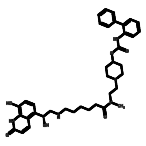 CN(CCN1CCC(OC(=O)Nc2ccccc2-c2ccccc2)CC1)C(=O)CCCCCNC[C@@H](O)c1ccc(O)c2[nH]c(=O)ccc12